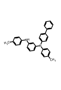 Cc1ccc(Nc2cccc(N(c3ccc(C)cc3)c3ccc(-c4ccccc4)cc3)c2)cc1